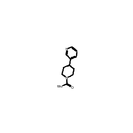 CC(C)(C)C(=O)N1CCC(c2cccnc2)CC1